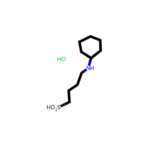 Cl.O=S(=O)(O)CCCCNC1CCCCC1